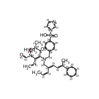 C=N/C(=C(/C(=O)N(C)C)N(CC(/C=C\C)=C/C=C(\C)c1ccccc1)Cc1ccc(P(=O)(O)n2ccnc2)cc1)N(C)C=O